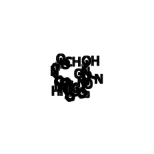 COC(=O)[C@@H]1CCN(Cc2cnc3c(Nc4cccc(-c5cccc(-c6nc7c(=O)n(CCO)cc(C#N)c7o6)c5C)c4C)nccc3c2)C1